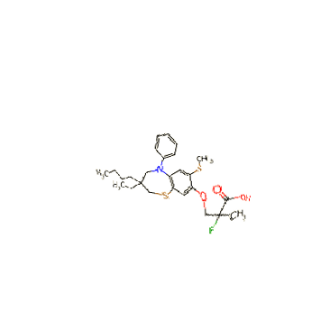 CCCCC1(CC)CSc2cc(OCC(C)(F)C(=O)O)c(SC)cc2N(c2ccccc2)C1